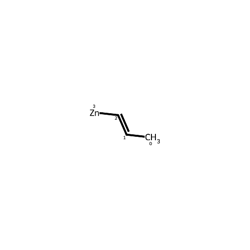 CC=[CH][Zn]